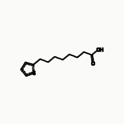 O=C(O)CCCCCCCc1cccs1